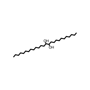 CCCCCCCCCCCCCC(O)C(O)CCCCCCCCCCC